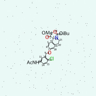 COC(=O)C1c2ccc(OCc3cc(NC(C)=O)ccc3Cl)cc2CCN1C(=O)OCC(C)C